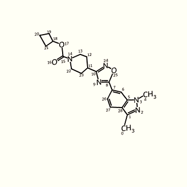 Cc1nn(C)c2cc(-c3nc(C4CCN(C(=O)OC5CCC5)CC4)no3)ccc12